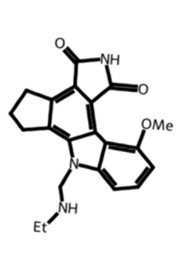 CCNCn1c2cccc(OC)c2c2c3c(c4c(c21)CCC4)C(=O)NC3=O